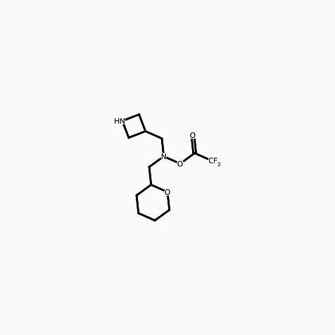 O=C(ON(CC1CNC1)CC1CCCCO1)C(F)(F)F